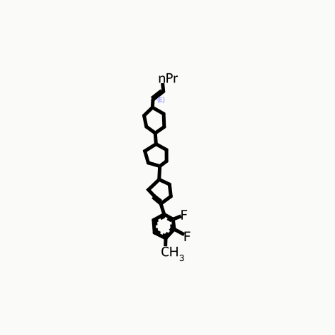 CCC/C=C/C1CCC(C2CCC(C3CC=C(c4ccc(C)c(F)c4F)CC3)CC2)CC1